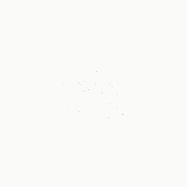 [C-]#[N+]c1c(C(F)(F)C(F)(F)F)cc(-c2nccs2)n(N2CCCCC2)c1=O